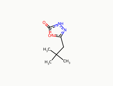 CC(C)(C)Cc1n[nH]c(=O)o1